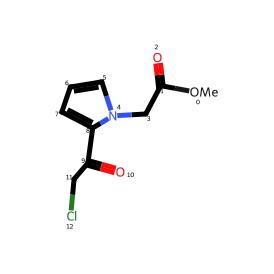 COC(=O)Cn1cccc1C(=O)CCl